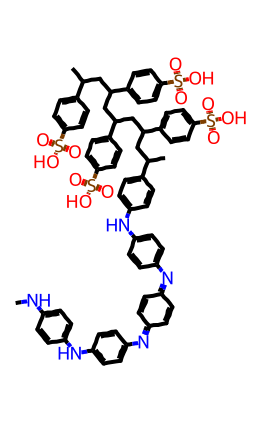 CNc1ccc(Nc2ccc(N=C3C=CC(=Nc4ccc(Nc5ccc(C(C)CC(CC(CC(CC(C)c6ccc(S(=O)(=O)O)cc6)c6ccc(S(=O)(=O)O)cc6)c6ccc(S(=O)(=O)O)cc6)c6ccc(S(=O)(=O)O)cc6)cc5)cc4)C=C3)cc2)cc1